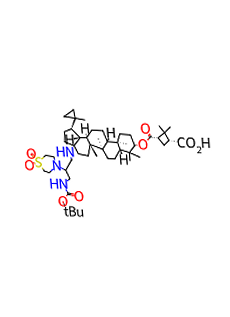 CC(C)(C)OC(=O)NCC(CN[C@]12CC[C@@H](C3(C)CC3)[C@@H]1[C@H]1CC[C@@H]3[C@@]4(C)CC[C@H](OC(=O)[C@H]5C[C@@H](C(=O)O)C5(C)C)C(C)(C)[C@@H]4CC[C@@]3(C)[C@]1(C)CC2)N1CCS(=O)(=O)CC1